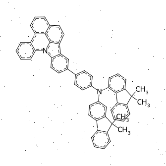 CC1(C)c2ccccc2-c2ccc(N(c3ccc(-c4ccc5c(c4)c4ccc6cccc7c8ccccc8n5c4c67)cc3)c3cccc4c3-c3ccccc3C4(C)C)cc21